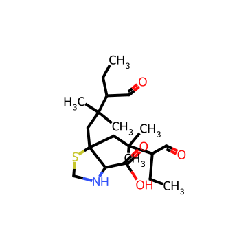 CCC(C=O)C(C)(C)CC1(CC(C)(C)C(C=O)CC)SCNC1C(=O)O